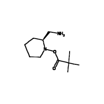 CC(C)(C)C(=O)ON1CCCC[C@H]1CN